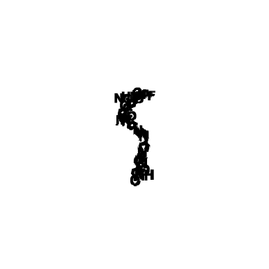 N#Cc1c(NS(=O)(=O)N2CC[C@@H](F)C2)ccc(F)c1Oc1ccc2ncn(-c3ccc(N4CCN(CC5CCN(c6ccc(C7CCC(=O)NC7=O)nc6)CC5)CC4)cc3)c(=O)c2c1